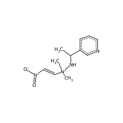 CC(N[N+](C)(C)C=C[N+](=O)[O-])c1cccnc1